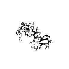 C#C[C@@H]1[C@H](n2cnc3c(=O)[nH]c(N)nc32)O[C@](F)(COP(=O)(O)OP(=O)(O)OP(=O)(O)O)[C@H]1O